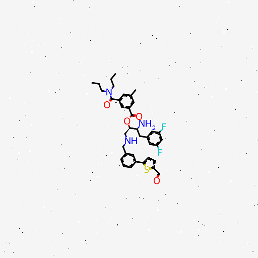 CCCN(CCC)C(=O)c1cc(C)cc(C(=O)O[C@H](CNCc2cccc(-c3ccc(C=O)s3)c2)[C@@H](N)Cc2cc(F)cc(F)c2)c1